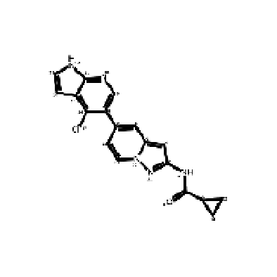 O=C(Nc1cc2cc(-c3cnc4[nH]ccc4c3Cl)ccn2n1)C1CC1